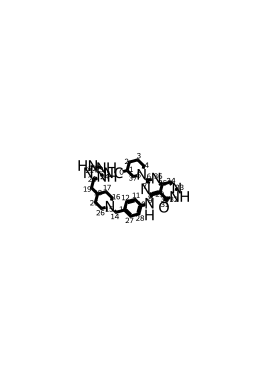 N#CC1CCCN(c2nc(Nc3ccc(CN4CCC(CC5=NNNN5)CC4)cc3)c3c(=O)[nH]ncc3n2)C1